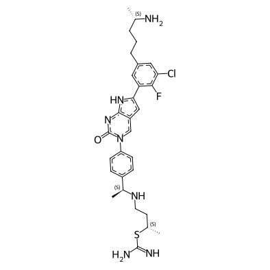 C[C@H](N)CCCc1cc(Cl)c(F)c(-c2cc3cn(-c4ccc([C@H](C)NCC[C@H](C)SC(=N)N)cc4)c(=O)nc3[nH]2)c1